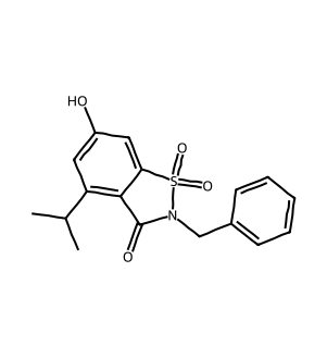 CC(C)c1cc(O)cc2c1C(=O)N(Cc1ccccc1)S2(=O)=O